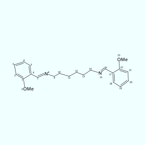 COc1ccccc1/C=N/CCCCCC/N=C/c1ccccc1OC